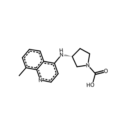 Cc1cccc2c(N[C@@H]3CCN(C(=O)O)C3)ccnc12